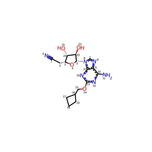 N#CC[C@H]1O[C@@H](n2cnc3c(N)nc(OCC4CCC4)nc32)[C@H](O)[C@H]1O